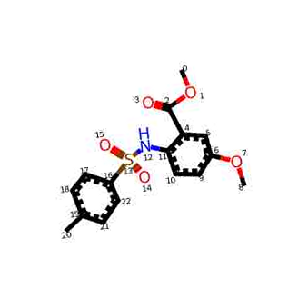 COC(=O)c1cc(OC)ccc1NS(=O)(=O)c1ccc(C)cc1